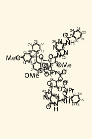 COc1ccc(C(OC[C@H]2O[C@@H](n3cnc4c(NC(=O)c5ccccc5)ncnc43)[C@H](OC)[C@@H]2O[P@@](O)(=S)OC[C@H]2O[C@@H](n3cnc4c(=O)[nH]c(NC(=O)c5ccccc5)nc43)[C@H](OC(=O)C(C)C)[C@@H]2OC(=O)C(C)C)(c2ccccc2)c2ccc(OC)cc2)cc1